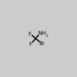 NC(F)(F)Br